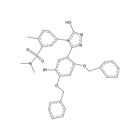 Cc1ccc(-n2c(O)nnc2-c2cc(C(C)C)c(OCc3ccccc3)cc2OCc2ccccc2)cc1S(=O)(=O)N(C)C